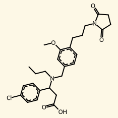 CCCN(Cc1ccc(CCCN2C(=O)CCC2=O)c(OC)c1)C(CC(=O)O)c1ccc(Cl)cc1